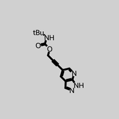 CC(C)(C)NC(=O)OCC#Cc1cnc2[nH]ncc2c1